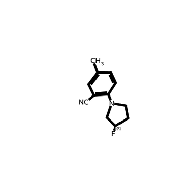 Cc1ccc(N2CC[C@@H](F)C2)c(C#N)c1